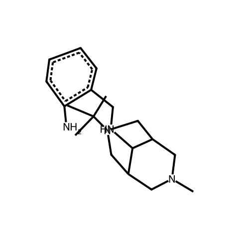 CN1CC2CN(C(C)(C)C)CC(C1)C2NCc1ccccc1N